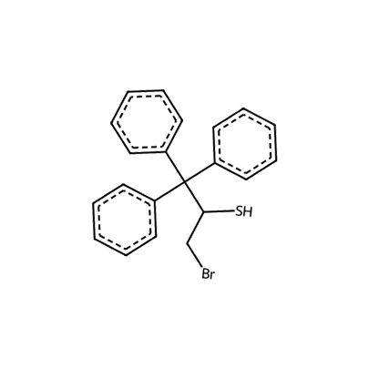 SC(CBr)C(c1ccccc1)(c1ccccc1)c1ccccc1